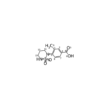 Cc1cc(C(=O)O)ccc1N1CCCNS1(=O)=O